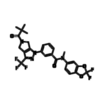 CN(C(=O)c1cccc(-n2nc(C(F)(F)F)c3c2CN(C(=O)C(C)(C)C)C3)c1)c1ccc2c(c1)OC(F)(F)O2